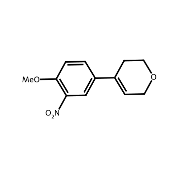 COc1ccc(C2=CCOCC2)cc1[N+](=O)[O-]